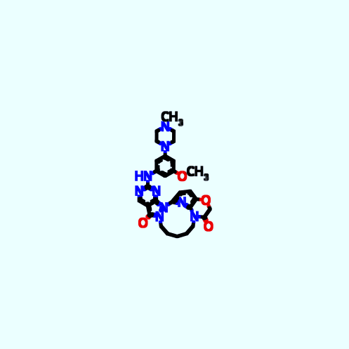 COc1cc(Nc2ncc3c(=O)n4n(c3n2)-c2ccc3c(n2)N(CCCCC4)C(=O)CO3)cc(N2CCN(C)CC2)c1